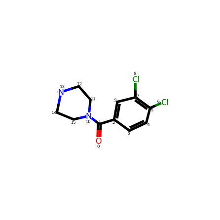 O=C(c1ccc(Cl)c(Cl)c1)N1CC[N]CC1